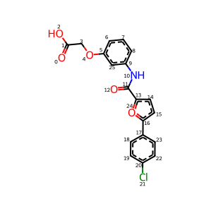 O=C(O)COc1cccc(NC(=O)c2ccc(-c3ccc(Cl)cc3)o2)c1